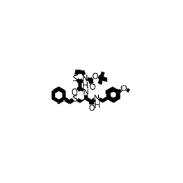 COc1ccc(CNC(=O)[C@@H](CSCC2CCCCC2)NC(=O)C2SCCN2C(=O)OC(C)(C)C)cc1